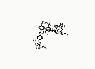 C=CC(=C)C.C=CC(=C)C.C=CC(=C)C.C=Cc1ccccc1.C=Cc1ccccc1.C=Cc1ccccc1